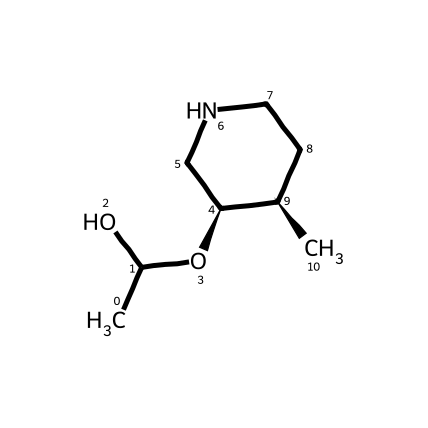 CC(O)O[C@H]1CNCC[C@H]1C